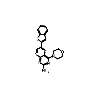 Nc1nc(N2CCOCC2)c2nc(-c3cc4ccccc4s3)cnc2n1